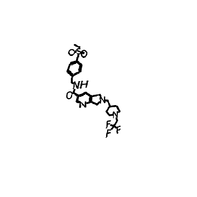 CCS(=O)(=O)c1ccc(CNC(=O)c2cnc3c(c2)CN(CC2CCN(CC(F)(F)F)CC2)C3)cc1